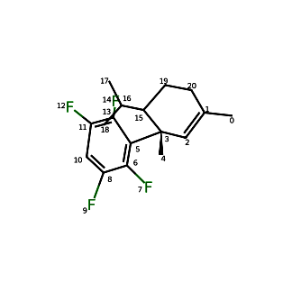 CC1=C[C@](C)(c2c(F)c(F)cc(F)c2F)C(C(C)C)CC1